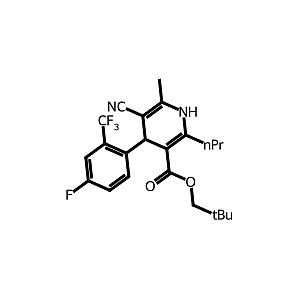 CCCC1=C(C(=O)OCC(C)(C)C)C(c2ccc(F)cc2C(F)(F)F)C(C#N)=C(C)N1